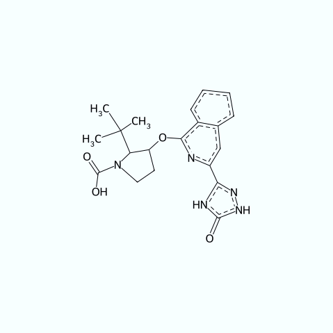 CC(C)(C)C1C(Oc2nc(-c3n[nH]c(=O)[nH]3)cc3ccccc23)CCN1C(=O)O